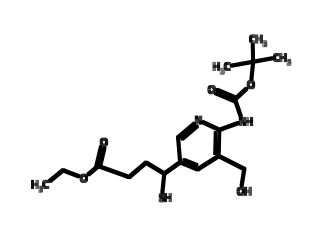 CCOC(=O)CCC(S)c1cnc(NC(=O)OC(C)(C)C)c(CO)c1